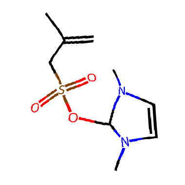 C=C(C)CS(=O)(=O)OC1N(C)C=CN1C